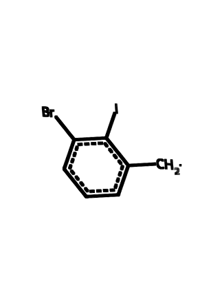 [CH2]c1cccc(Br)c1I